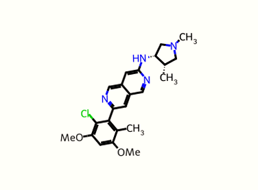 COc1cc(OC)c(Cl)c(-c2cc3cnc(N[C@@H]4CN(C)C[C@@H]4C)cc3cn2)c1C